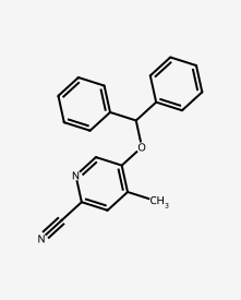 Cc1cc(C#N)ncc1OC(c1ccccc1)c1ccccc1